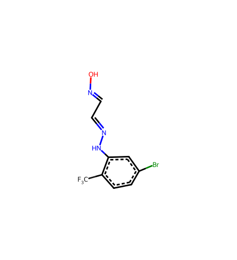 ON=CC=NNc1cc(Br)ccc1C(F)(F)F